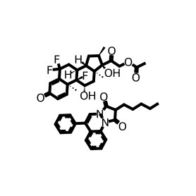 CC(=O)OCC(=O)[C@@]1(O)[C@H](C)C[C@H]2[C@@H]3CC(F)(F)C4=CC(=O)C=C[C@]4(C)[C@@]3(F)[C@@H](O)C[C@@]21C.CCCCCC1C(=O)N2C=C(c3ccccc3)c3ccccc3N2C1=O